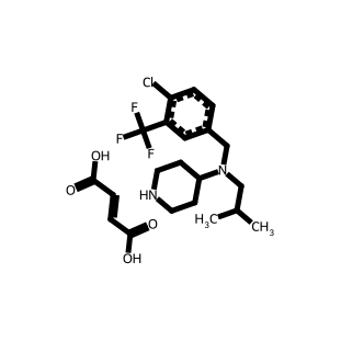 CC(C)CN(Cc1ccc(Cl)c(C(F)(F)F)c1)C1CCNCC1.O=C(O)/C=C/C(=O)O